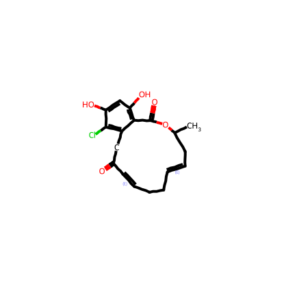 CC1C/C=C/CC/C=C/C(=O)Cc2c(Cl)c(O)cc(O)c2C(=O)O1